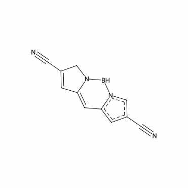 N#CC1=CC2=Cc3cc(C#N)cn3BN2C1